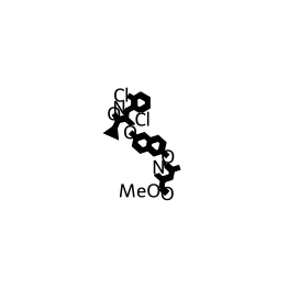 COC(=O)c1cnc(Oc2ccc3cc(OCc4c(-c5c(Cl)cccc5Cl)noc4C4CC4)ccc3c2)c(C)c1